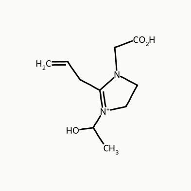 C=CCC1=[N+](C(C)O)CCN1CC(=O)O